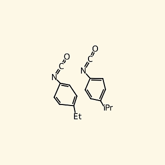 CC(C)c1ccc(N=C=O)cc1.CCc1ccc(N=C=O)cc1